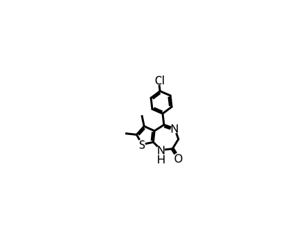 Cc1sc2c(c1C)C(c1ccc(Cl)cc1)=NCC(=O)N2